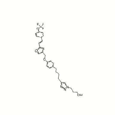 OCCCn1cc(CCCCc2ccc(OCc3coc(C=Cc4ccc(OC(F)(F)F)cc4)n3)cc2)nn1